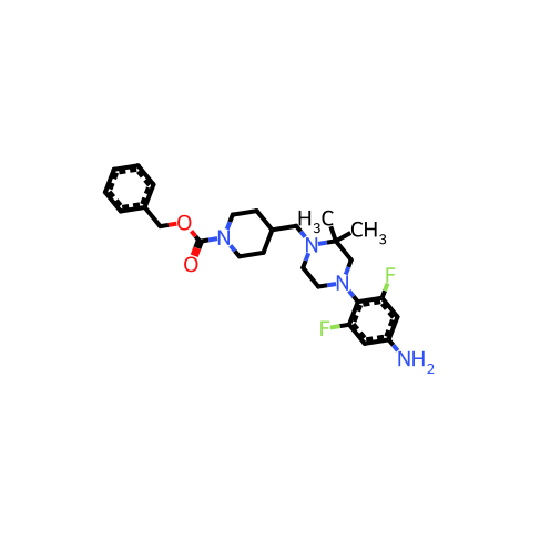 CC1(C)CN(c2c(F)cc(N)cc2F)CCN1CC1CCN(C(=O)OCc2ccccc2)CC1